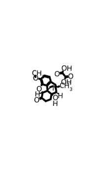 COc1ccc2c3c1O[C@H]1C(=O)CC[C@@]4(O)[C@@H](C2)N(C)CC[C@]314.O=C(O)C(=O)O